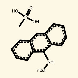 CCCCNc1c2ccccc2cc2ccccc12.CP(=O)(O)O